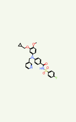 COc1ccc(N(Cc2cccnc2)c2ccc(C(=O)NS(=O)(=O)c3ccc(F)cc3)cc2)cc1OCC1CC1